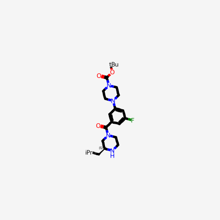 CC(C)C[C@H]1CN(C(=O)c2cc(F)cc(N3CCN(C(=O)OC(C)(C)C)CC3)c2)CCN1